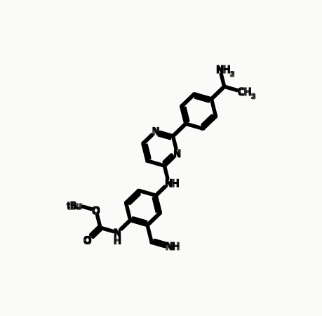 CC(N)c1ccc(-c2nccc(Nc3ccc(NC(=O)OC(C)(C)C)c(C=N)c3)n2)cc1